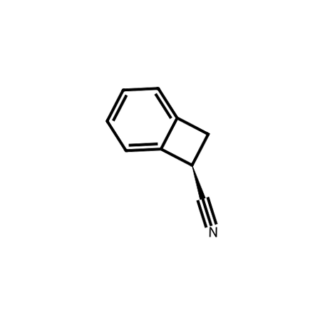 N#C[C@@H]1Cc2ccccc21